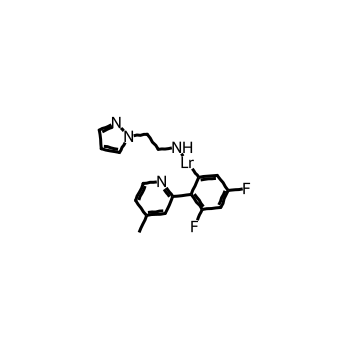 Cc1ccnc(-c2c(F)cc(F)c[c]2[Lr][NH]CCn2cccn2)c1